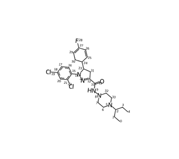 CCC(CC)N1CCN(NC(=O)C2=NN(c3ccc(Cl)cc3Cl)C(C3C=CC(F)=CC3)C2)CC1